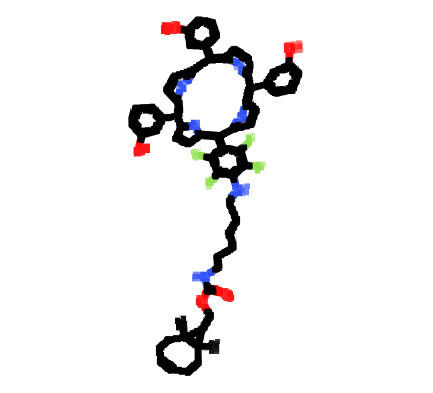 O=C(NCCCCCCNc1c(F)c(F)c(C2=C3C=CC(=N3)C(c3cccc(O)c3)=C3C=CC(=N3)C(c3cccc(O)c3)=C3C=CC(=N3)C(c3cccc(O)c3)=C3C=CC2=N3)c(F)c1F)OCC1[C@H]2CCC#CCC[C@@H]12